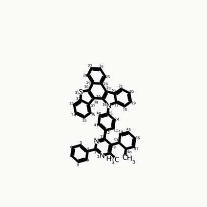 Cc1nc(-c2ccccc2)nc(-c2ccc(-n3c4ccccc4c4c5ccccc5c5sc6ccccc6c5c43)cc2)c1C1C=CC=CC1C